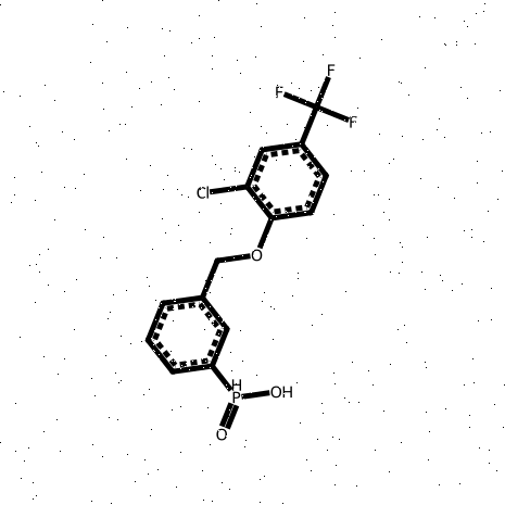 O=[PH](O)c1cccc(COc2ccc(C(F)(F)F)cc2Cl)c1